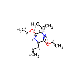 C=CCC1N=C(OCC)[C@H](C(C)C)N=C1OCC